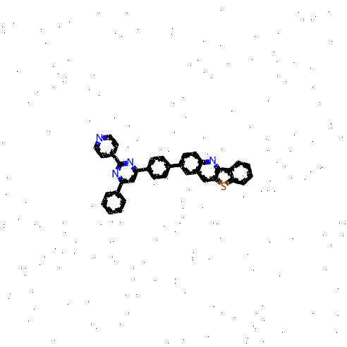 c1ccc(-c2cc(-c3ccc(-c4ccc5nc6c(cc5c4)sc4ccccc46)cc3)nc(-c3ccncc3)n2)cc1